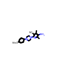 COc1ccc(N2CCN(c3nc(C)c(N)c(C)c3C#N)CC2)cc1